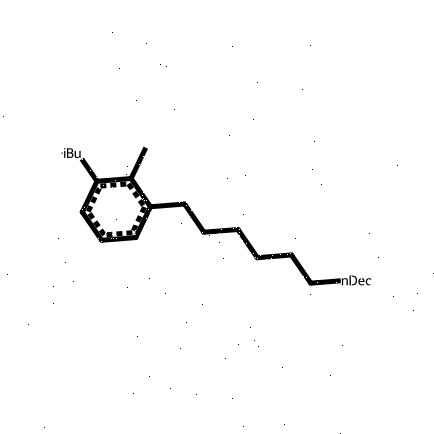 CCCCCCCCCCCCCCCCc1cccc([C](C)CC)c1C